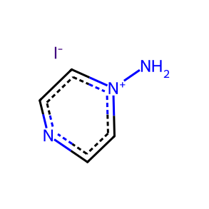 N[n+]1ccncc1.[I-]